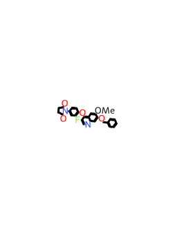 COc1cc2c(Oc3ccc(N4C(=O)CCC4=O)cc3F)ccnc2cc1OCc1ccccc1